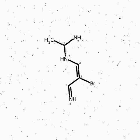 CC(N)N/C=C(/Br)C=N